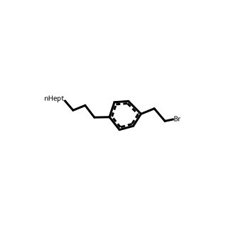 CCCCCCCCCCc1ccc(CCBr)cc1